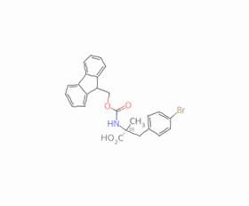 C[C@@](Cc1ccc(Br)cc1)(NC(=O)OCC1c2ccccc2-c2ccccc21)C(=O)O